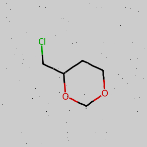 ClCC1CCO[CH]O1